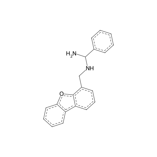 NC(NCc1cccc2c1oc1ccccc12)c1ccccc1